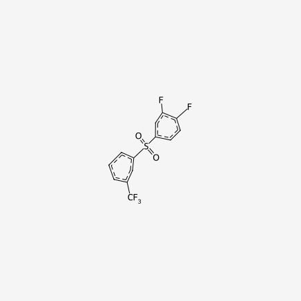 O=S(=O)(c1cccc(C(F)(F)F)c1)c1ccc(F)c(F)c1